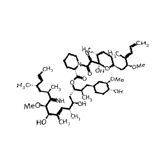 C=C/C=C(\C)[C@H](C[C@@H]1CC[C@@H](C)[C@](O)(C(=O)C(=O)N2CCCC[C@H]2C(=O)O[C@@H](C[C@@H](O)[C@H](C)/C=C(\C)[C@@H](O)[C@@H](OC)C(=N)[C@H](C)C[C@H](C)/C=C/C)[C@H](C)C[C@@H]2CC[C@@H](O)[C@H](OC)C2)O1)OC